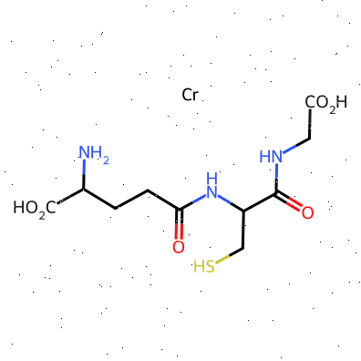 NC(CCC(=O)NC(CS)C(=O)NCC(=O)O)C(=O)O.[Cr]